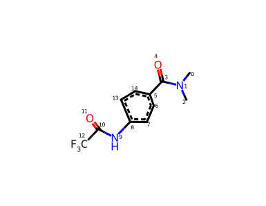 CN(C)C(=O)c1ccc(NC(=O)C(F)(F)F)cc1